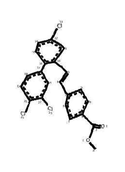 COC(=O)c1ccc(C=Cc2cc(Cl)ccc2-c2ccc(Cl)c(Cl)c2)cc1